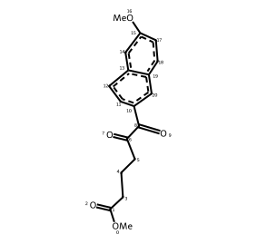 COC(=O)CCCC(=O)C(=O)c1ccc2cc(OC)ccc2c1